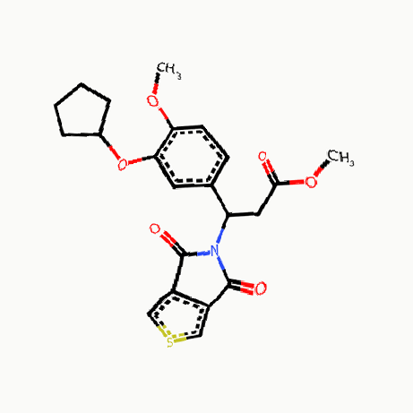 COC(=O)CC(c1ccc(OC)c(OC2CCCC2)c1)N1C(=O)c2cscc2C1=O